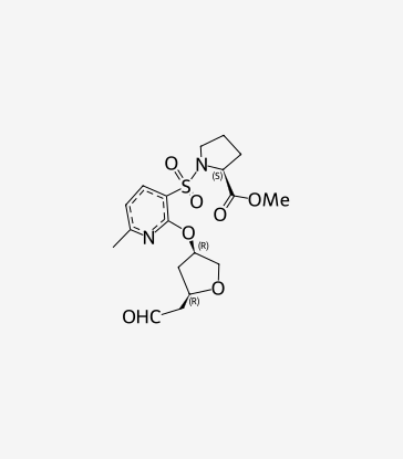 COC(=O)[C@@H]1CCCN1S(=O)(=O)c1ccc(C)nc1O[C@H]1CO[C@@H](CC=O)C1